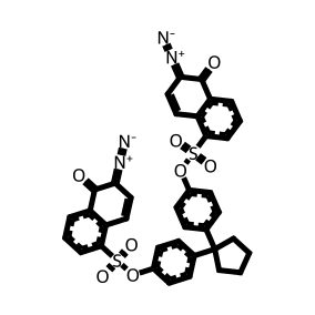 [N-]=[N+]=C1C=Cc2c(cccc2S(=O)(=O)Oc2ccc(C3(c4ccc(OS(=O)(=O)c5cccc6c5C=CC(=[N+]=[N-])C6=O)cc4)CCCC3)cc2)C1=O